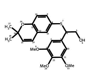 COc1cc(C(CO)Sc2ccc3c(c2)C=CC(C)(C)O3)cc(OC)c1OC